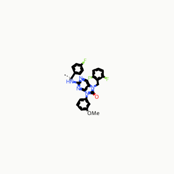 COc1cccc(-n2c(=O)n(Cc3c(F)cccc3F)c3cnc(N[C@H](C)c4ccc(F)cc4)nc32)c1